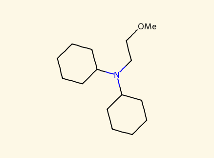 COCCN(C1CCCCC1)C1CCCCC1